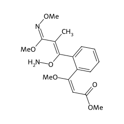 CO/N=C(OC)\C(C)=C(/ON)c1ccccc1/C(=C\C(=O)OC)OC